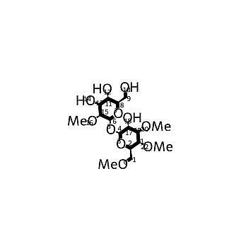 COC[C@H]1O[C@H](O[C@H]2O[C@H](CO)[C@@H](O)[C@H](O)[C@H]2OC)[C@H](O)[C@@H](OC)[C@@H]1OC